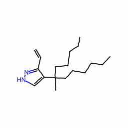 C=Cc1n[nH]cc1C(C)(CCCCC)CCCCCC